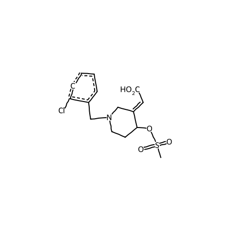 CS(=O)(=O)OC1CCN(Cc2ccccc2Cl)C/C1=C\C(=O)O